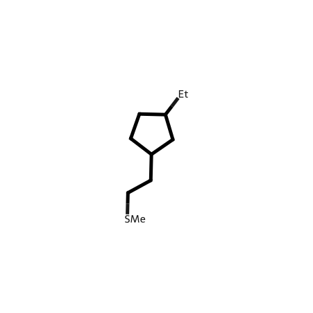 CCC1CCC(CCSC)C1